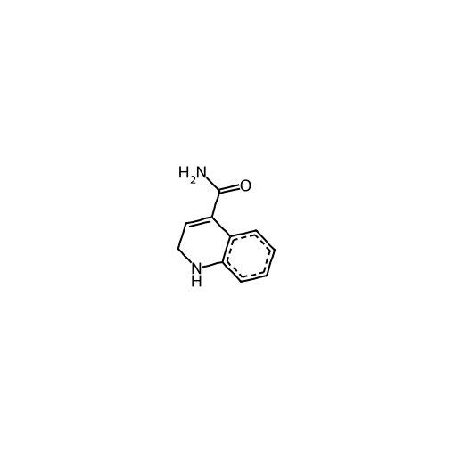 NC(=O)C1=CCNc2ccccc21